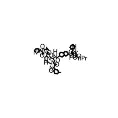 CCCOC(=O)[C@H](C)NP(=O)(Oc1ccccc1)[C@@H](F)c1ccc2ccc(C(=O)N[C@H]3CN(C(=O)c4noc5ccc(C)cc45)CC[C@H]4CCC(C(=O)N5C(=O)N(c6cccnc6)C(=O)C56CC6)N4C3=O)cc2c1